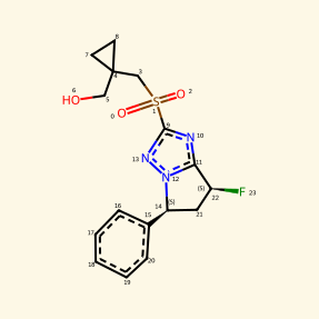 O=S(=O)(CC1(CO)CC1)c1nc2n(n1)[C@H](c1ccccc1)C[C@@H]2F